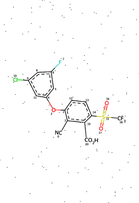 N#Cc1c(Oc2cc(F)cc(Cl)c2)ccc(S(=O)(=O)C(F)(F)F)c1C(=O)O